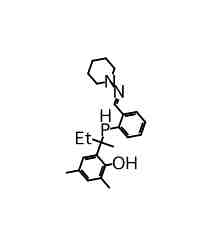 CCC(C)(Pc1ccccc1/C=N/N1CCCCC1)c1cc(C)cc(C)c1O